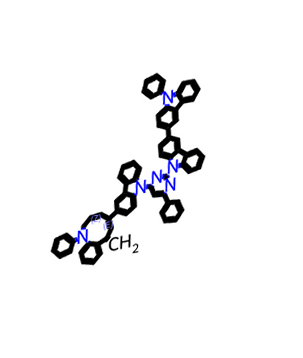 C=C1/C=C(c2ccc3c(c2)c2ccccc2n3-c2cc(-c3ccccc3)nc(-n3c4ccccc4c4cc(-c5ccc6c(c5)c5ccccc5n6-c5ccccc5)ccc43)n2)\C=C/CN(c2ccccc2)c2ccccc21